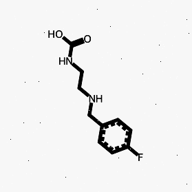 O=C(O)NCCNCc1ccc(F)cc1